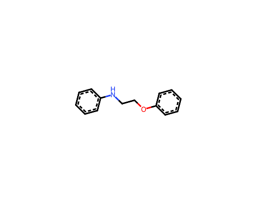 c1ccc(NCCOc2ccccc2)cc1